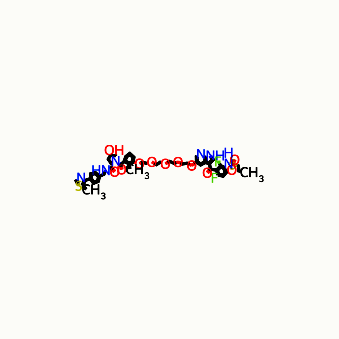 CCCS(=O)(=O)Nc1ccc(F)c(C(=O)c2c[nH]c3ncc(OCCOCCOCCOCCOc4cccc(C(=O)N5C[C@H](O)C[C@H]5C(=O)NCc5ccc(-c6ncsc6C)cc5)c4C)cc23)c1F